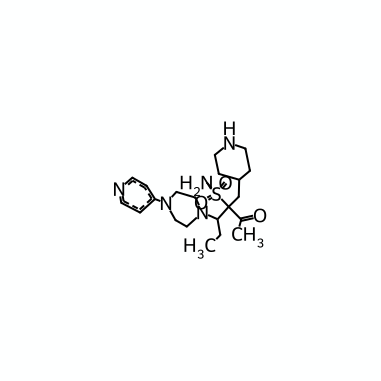 CCC(N1CCN(c2ccncc2)CC1)C(CC1CCNCC1)(C(C)=O)S(N)(=O)=O